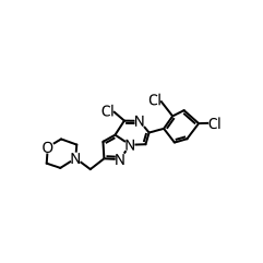 Clc1ccc(-c2cn3nc(CN4CCOCC4)cc3c(Cl)n2)c(Cl)c1